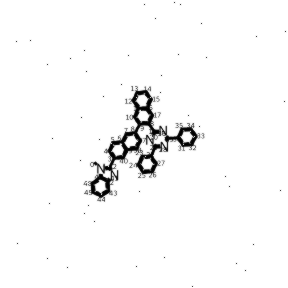 Cn1c(-c2ccc3cc(-c4cc5ccccc5cc4-c4nc(-c5ccccc5)nc(-c5ccccc5)n4)ccc3c2)nc2ccccc21